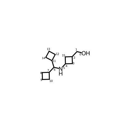 OCC1CC(NC(C2CCC2)C2CCC2)C1